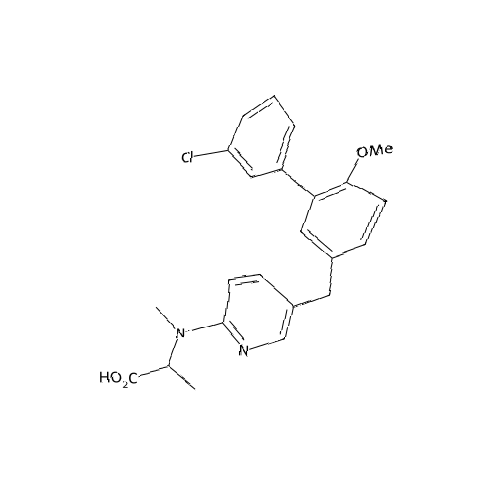 COc1ccc(Cc2ccc(N(C)C(C)C(=O)O)nc2)cc1-c1cccc(Cl)c1